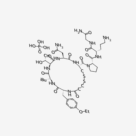 CCOc1ccc(C[C@H]2NC(=O)CCSSC[C@@H](C(=O)N3CCC[C@H]3C(=O)N[C@@H](CCCN)C(=O)NCC(N)=O)NC(=O)[C@H](CC(N)=O)NC(=O)[C@H]([C@@H](C)O)NC(=O)[C@H]([C@@H](C)CC)NC2=O)cc1.O=P(O)(O)O